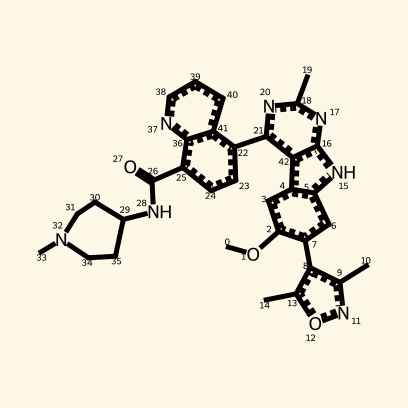 COc1cc2c(cc1-c1c(C)noc1C)[nH]c1nc(C)nc(-c3ccc(C(=O)NC4CCN(C)CC4)c4ncccc34)c12